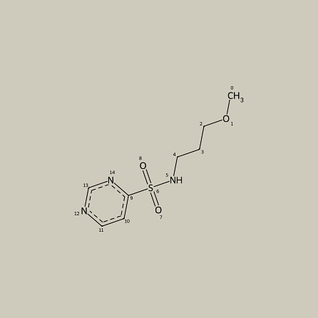 COCCCNS(=O)(=O)c1ccncn1